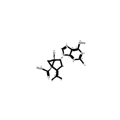 CNC(=O)[C@@]12C[C@@H]1[C@H](n1cnc3c(NC)nc(I)nc31)CC2=C(C)C